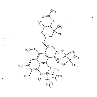 COc1c2c(c3c4c(c(C=O)c(C)cc14)O[Si](C(C)(C)C)(C(C)(C)C)O3)C(=O)[C@@H](O[Si](C)(C)C(C)(C)C)C[C@@H]2OC1CC(C)(O)C(OC(C)=O)C(C)O1